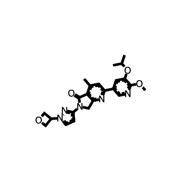 COc1ncc(-c2cc(C)c3c(n2)CN(c2ccn(C4COC4)n2)C3=O)cc1OC(C)C